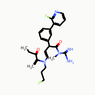 C=C(C(=O)CC)N(/C=C/C(C(=O)N(C)C(=N)N)c1cccc(-c2cccnc2F)c1)CCCF